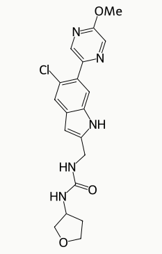 COc1cnc(-c2cc3[nH]c(CNC(=O)NC4CCOC4)cc3cc2Cl)cn1